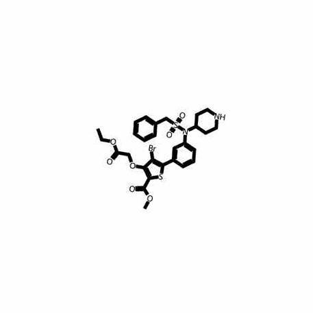 CCOC(=O)COc1c(C(=O)OC)sc(-c2cccc(N(C3CCNCC3)S(=O)(=O)Cc3ccccc3)c2)c1Br